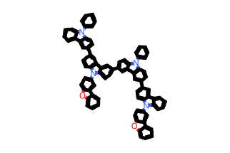 c1ccc(-n2c3ccccc3c3cc(-c4ccc5c(c4)c4cc(-c6ccc7c(c6)c6cc(-c8ccc9c(c8)c8ccccc8n9-c8ccc9oc%10ccccc%10c9c8)ccc6n7-c6ccccc6)ccc4n5-c4ccc5oc6ccccc6c5c4)ccc32)cc1